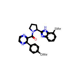 COc1ccc(-c2nccnc2C(=O)N2CCCC2c2nc3cccc(SC)c3[nH]2)cc1